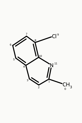 Cc1ccc2cccc(Cl)c2n1